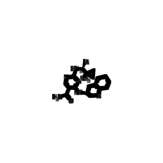 CC[C@@H](Nc1ncc(C(N)=O)c(Nc2cnc3ccccc3c2)n1)C1(N)CC1